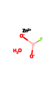 O.[O-]B([O-])F.[Zn+2]